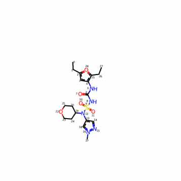 CCc1cc(NC(=O)NS(=O)(=O)N(c2cnn(C)c2)C2CCOCC2)c(CC)o1